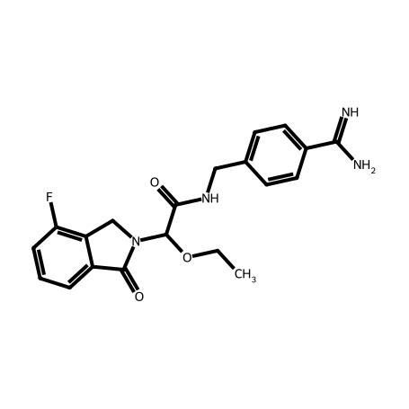 CCOC(C(=O)NCc1ccc(C(=N)N)cc1)N1Cc2c(F)cccc2C1=O